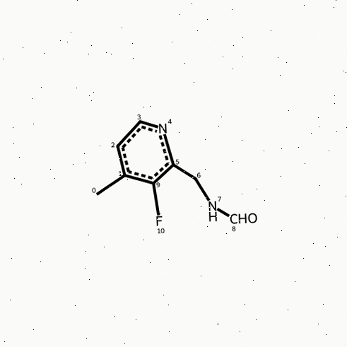 Cc1ccnc(CNC=O)c1F